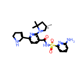 C[C@@H]1CN(c2nc(C3=CCCNC3)ccc2C(=O)NS(=O)(=O)c2cccc(N)n2)C(C)(C)C1